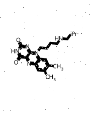 C[C](C)CNCCCCn1c2nc(=O)[nH]c(=O)c-2nc2cc(C)c(C)cc21